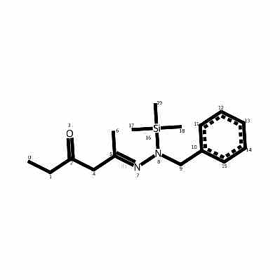 CCC(=O)C/C(C)=N/N(Cc1ccccc1)[Si](C)(C)C